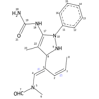 C/C=C\C(=C/N(C)C=O)C1NN(c2ccccc2)C(NC(N)=O)=C1C